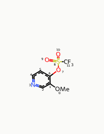 COc1cnccc1OS(=O)(=O)C(F)(F)F